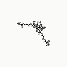 N=C(CC(C(=O)OC(=O)CCCCCCC(=O)O)(S(=O)(=O)O)S(=O)(=O)O)OC(=O)CCCCCCC(=O)O